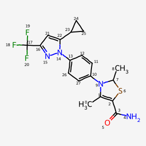 CC1=C(C(N)=O)SC(C)N1c1ccc(-n2nc(C(F)(F)F)cc2C2CC2)cc1